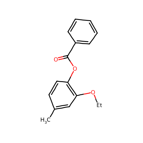 CCOc1cc(C)ccc1OC(=O)c1ccccc1